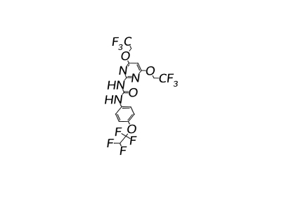 O=C(Nc1ccc(OC(F)(F)C(F)F)cc1)Nc1nc(OCC(F)(F)F)cc(OCC(F)(F)F)n1